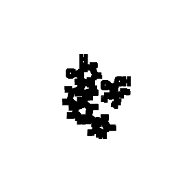 O=C(O)C(F)(F)F.O=C1NCCn2nc3c(c21)CCc1cnc(-n2ccnc2)cc1-3